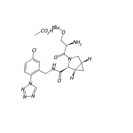 CC(=O)O.CC(C)(C)OC[C@@H](N)C(=O)N1C[C@@H]2C[C@@H]2[C@H]1C(=O)NCc1cc(Cl)ccc1-n1cnnn1